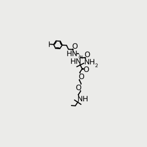 CCC(C)(C)NCCOCCOCC(=O)C(C)(C)N[C@H](CNC(=O)CCc1ccc(I)cc1)C(N)=O